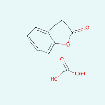 O=C(O)O.O=C1Cc2ccccc2O1